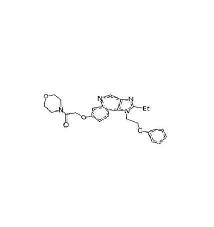 CCc1nc2cnc3cc(OCC(=O)N4CCOCC4)ccc3c2n1CCOc1ccccc1